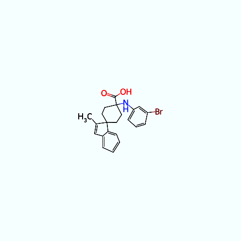 CC1=Cc2ccccc2C12CCC(Nc1cccc(Br)c1)(C(=O)O)CC2